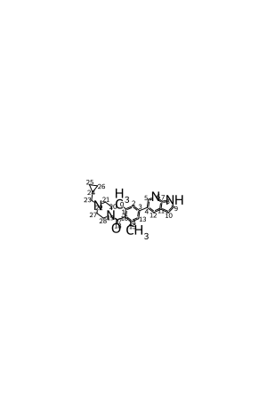 Cc1cc(-c2cnc3[nH]ccc3c2)cc(C)c1C(=O)N1CCN(CC2CC2)CC1